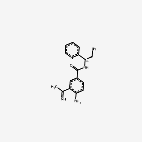 CC(=N)c1cc(C(=O)N[C@H](CC(C)C)c2ccccn2)ccc1N